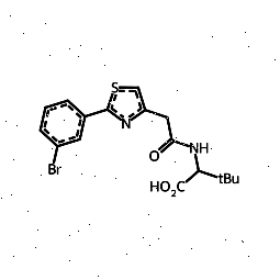 CC(C)(C)C(NC(=O)Cc1csc(-c2cccc(Br)c2)n1)C(=O)O